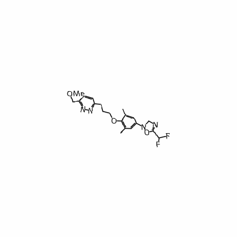 COCc1ccc(CCCOc2c(C)cc(N3CN=C(C(F)F)O3)cc2C)nn1